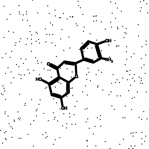 Nc1cc(-c2cc(=O)c3c(O)cc(O)cc3o2)ccc1O